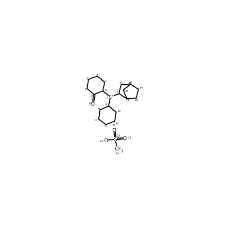 O=C1CCCCC1[S+](C1CCCCC1)C1CC2CCC1C2.O=S(=O)([O-])C(F)(F)F